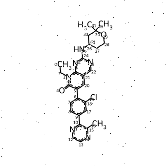 CCn1c(=O)c(-c2ccc(-c3nccnc3C)cc2Cl)cc2cnc(N[C@@H]3CCOC(C)(C)C3)nc21